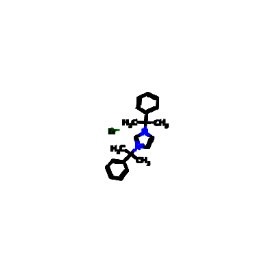 CC(C)(c1ccccc1)n1cc[n+](C(C)(C)c2ccccc2)c1.[Br-]